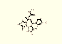 CCNC(=O)C1CC12N=C(c1ccc(Cl)cc1)c1c(sc(C)c1C)-n1c(C)nnc12